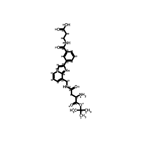 CC(C)(C)OC(=O)C(N)CC(=O)NCc1cccn2cc(-c3cccc(C(=O)NCCC(=O)O)c3)nc12